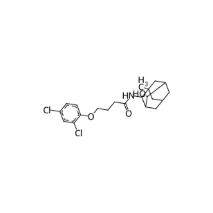 CC12CC3CC(C1)C(O)C(C3)C2NC(=O)CCCOc1ccc(Cl)cc1Cl